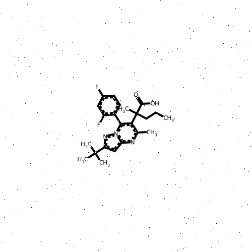 CCCC(C)(C(=O)O)c1c(C)nc2cc(C(C)(C)C)nn2c1-c1ccc(F)cc1F